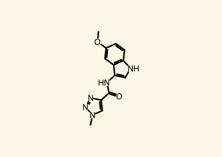 COc1ccc2[nH]cc(NC(=O)c3cn(C)nn3)c2c1